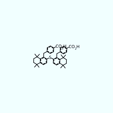 CC1(C)CCC(C)(C)c2c1ccc(Sc1ccc3c(c1Cc1ccc(C(=O)O)cc1)C(C)(C)CCC3(C)C)c2Cc1ccc(C(=O)O)cc1